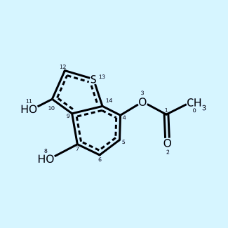 CC(=O)Oc1ccc(O)c2c(O)csc12